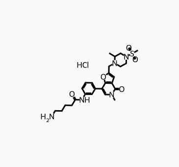 CC1CN(S(C)(=O)=O)CCN1Cc1cc2c(=O)n(C)cc(-c3cccc(NC(=O)CCCCN)c3)c2o1.Cl